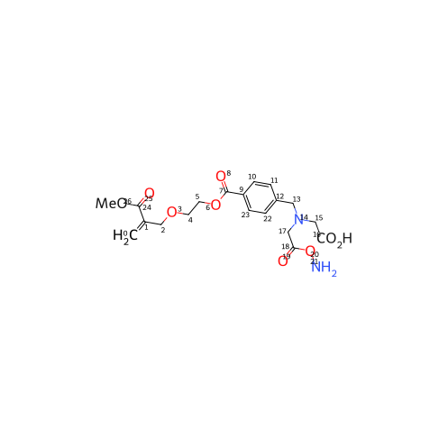 C=C(COCCOC(=O)c1ccc(CN(CC(=O)O)CC(=O)ON)cc1)C(=O)OC